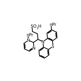 CCCc1ccc2c(c1)N(C(CCS(=O)(=O)O)C1N=CC=CN1CCC)c1ccccc1S2